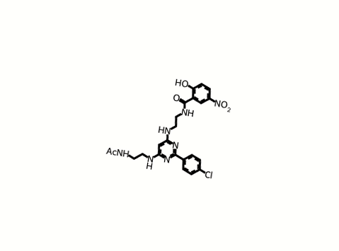 CC(=O)NCCNc1cc(NCCNC(=O)c2cc([N+](=O)[O-])ccc2O)nc(-c2ccc(Cl)cc2)n1